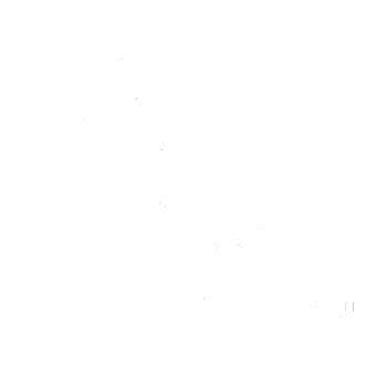 O=C(O)COc1ccc(SCC=C(c2ccccc2)c2cccc(C(F)C(F)F)c2)cc1Br